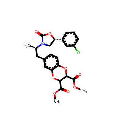 COC(=O)C1Oc2ccc(C[C@@H](C)N3C[C@@H](c4cccc(Cl)c4)OC3=O)cc2OC1C(=O)OC